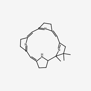 CC1(C)CC2=NC1(C)C1CCC(=CC3=NC(=CC4=NC(=C2)CC4)CC3)N1